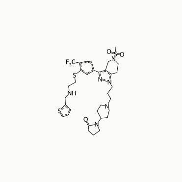 CS(=O)(=O)N1CCc2c(c(-c3ccc(C(F)(F)F)c(SCCNCc4cccs4)c3)nn2CCCN2CCC(N3CCCC3=O)CC2)C1